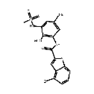 C=S(C)(=O)Nc1cc(C(C)(C)C)cc(NC(=O)c2cc3c(Cl)cccc3s2)c1OC